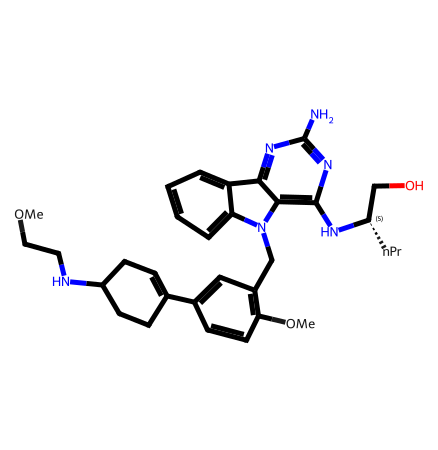 CCC[C@@H](CO)Nc1nc(N)nc2c3ccccc3n(Cc3cc(C4=CCC(NCCOC)CC4)ccc3OC)c12